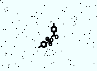 Cc1ccc(C(=O)COS(=O)(=O)c2ccc(C)cc2)cc1